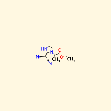 CCOC(=O)C(C)N1CCNC1=C(C#N)C#N